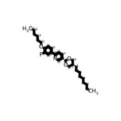 CCCCCCCCC[C@H]1CO[C@H](c2ccc(-c3ccc(OCCCCCC)c(F)c3)nc2)OC1